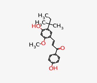 CCC(C)(C)c1cc(C=CC(=O)c2ccc(O)cc2)c(OC)cc1O